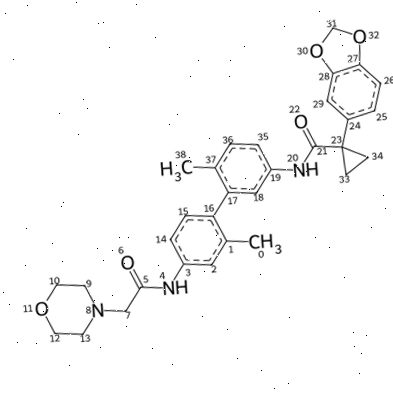 Cc1cc(NC(=O)CN2CCOCC2)ccc1-c1cc(NC(=O)C2(c3ccc4c(c3)OCO4)CC2)ccc1C